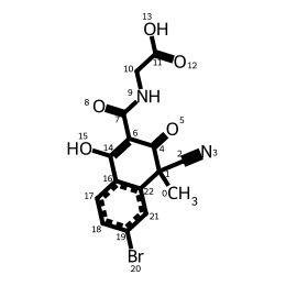 CC1(C#N)C(=O)C(C(=O)NCC(=O)O)=C(O)c2ccc(Br)cc21